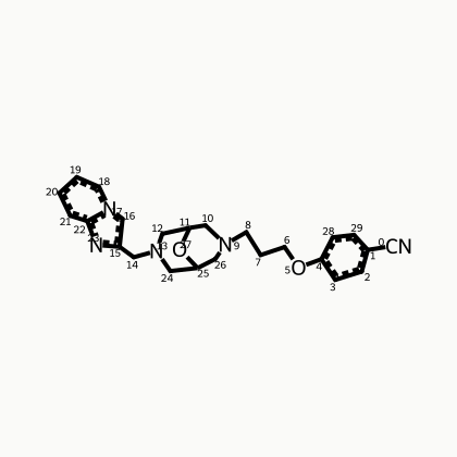 N#Cc1ccc(OCCCN2CC3CN(Cc4cn5ccccc5n4)CC(C2)O3)cc1